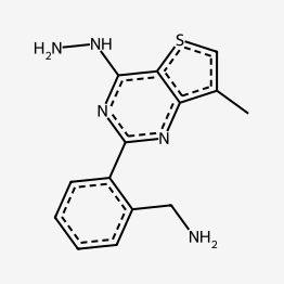 Cc1csc2c(NN)nc(-c3ccccc3CN)nc12